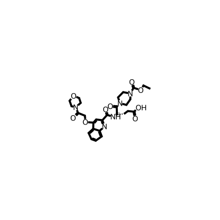 CCOC(=O)N1CCN(C(=O)[C@H](CCC(=O)O)NC(=O)c2cc(OCC(=O)N3CCOCC3)c3ccccc3n2)CC1